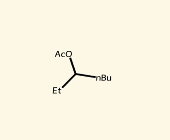 [CH2]CC(CCCC)OC(C)=O